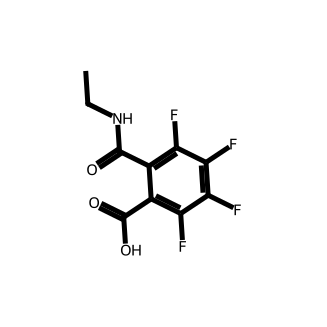 CCNC(=O)c1c(F)c(F)c(F)c(F)c1C(=O)O